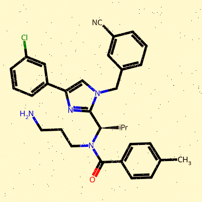 Cc1ccc(C(=O)N(CCCN)[C@@H](c2nc(-c3cccc(Cl)c3)cn2Cc2cccc(C#N)c2)C(C)C)cc1